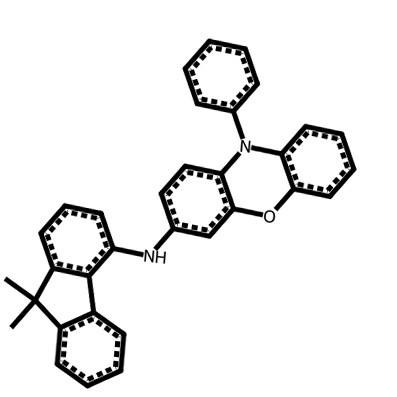 CC1(C)c2ccccc2-c2c(Nc3ccc4c(c3)Oc3ccccc3N4c3ccccc3)cccc21